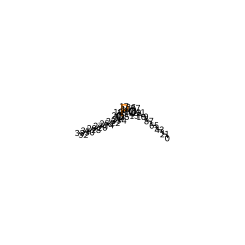 CCCCCCCCCCCCc1ccc(P(C)c2ccc(CCCCCCCCCCCC)cc2)cc1